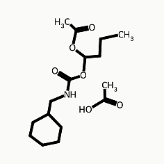 CC(=O)O.CCCC(OC(C)=O)OC(=O)NCC1CCCCC1